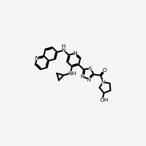 O=C(c1nnc(-c2cnc(Nc3ccc4ncccc4c3)cc2NC2CC2)s1)N1CCC(O)C1